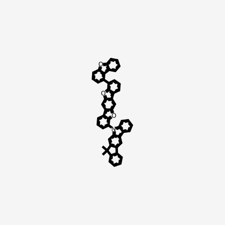 CC1(C)c2ccccc2-c2cc3c4ccccc4n(-c4cccc5c4oc4cc6c(cc45)oc4c(-c5cccc7oc8ccccc8c57)cccc46)c3cc21